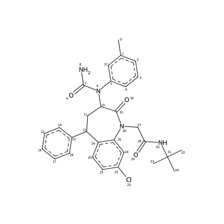 Cc1cccc(N(C(N)=O)C2CC(c3ccccc3)c3ccc(Cl)cc3N(CC(=O)NC(C)(C)C)C2=O)c1